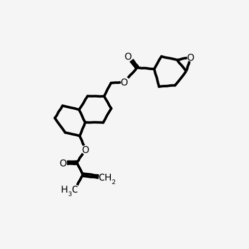 C=C(C)C(=O)OC1CCCC2CC(COC(=O)C3CCC4OC4C3)CCC21